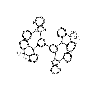 CC1(C)c2ccccc2N(c2cc(-c3cc(-c4nc5cccnc5n4-c4ccccc4)cc(N4c5ccccc5C(C)(C)c5ccccc54)c3)cc(-c3nc4cccnc4n3-c3ccccc3)c2)c2ccccc21